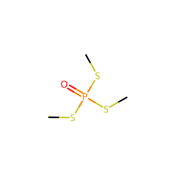 CSP(=O)(SC)SC